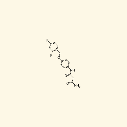 NC(=O)CC(=O)Nc1ccc(OCc2ccc(F)cc2F)cc1